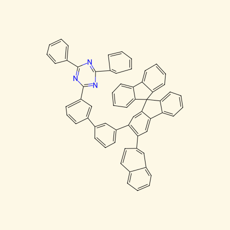 c1ccc(-c2nc(-c3ccccc3)nc(-c3cccc(-c4cccc(-c5cc6c(cc5-c5ccc7ccccc7c5)-c5ccccc5C65c6ccccc6-c6ccccc65)c4)c3)n2)cc1